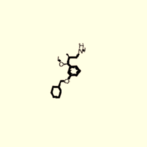 C[C@@H](CNI)[C@H](OI)c1cccc(OCC2CCCCC2)c1